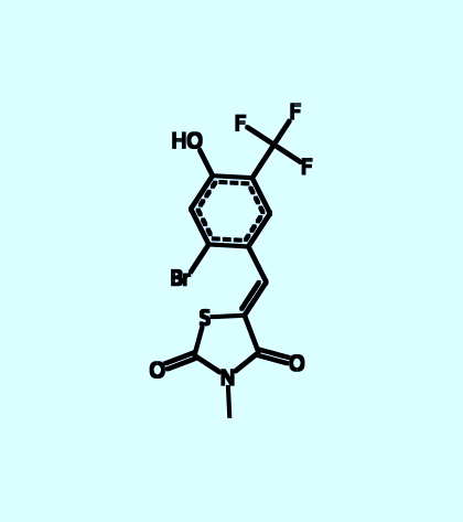 CN1C(=O)S/C(=C\c2cc(C(F)(F)F)c(O)cc2Br)C1=O